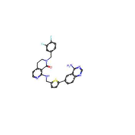 Nc1ncnc2ccc(-c3ccc(CNc4nccc5c4C(=O)N(Cc4ccc(F)c(F)c4)CC5)s3)cc12